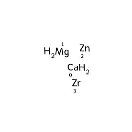 [CaH2].[MgH2].[Zn].[Zr]